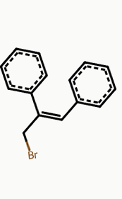 BrC/C(=C/c1ccccc1)c1ccccc1